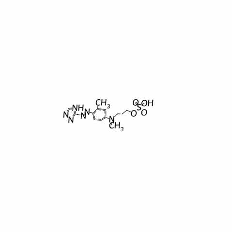 Cc1cc(N(C)CCCOS(=O)(=O)O)ccc1N=Nc1nnc[nH]1